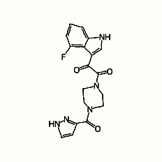 O=C(C(=O)N1CCN(C(=O)c2cc[nH]n2)CC1)c1c[nH]c2cccc(F)c12